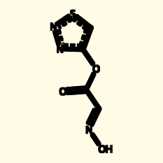 O=C(C=NO)Oc1csnn1